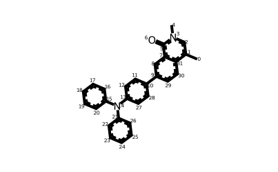 Cc1cn(C)c(=O)c2cc(-c3ccc(N(c4ccccc4)c4ccccc4)cc3)ccc12